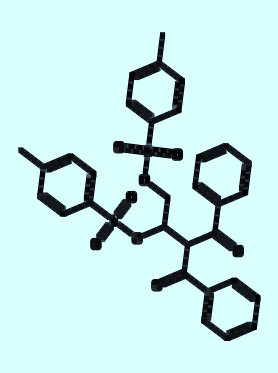 Cc1ccc(S(=O)(=O)OCC(OS(=O)(=O)c2ccc(C)cc2)C(C(=O)c2ccccc2)C(=O)c2ccccc2)cc1